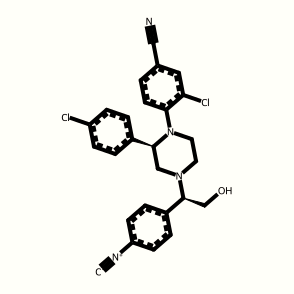 [C-]#[N+]c1ccc([C@H](CO)N2CCN(c3ccc(C#N)cc3Cl)[C@H](c3ccc(Cl)cc3)C2)cc1